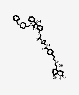 O=C(NC1CN(C(=O)COc2cccc([C@](O)(C(=O)OCC3CCN(Cc4ccccc4)CC3)c3ccccc3)c2)C1)c1ccc(CCNC[C@H](O)c2ccc(O)c3[nH]c(=O)ccc23)cc1